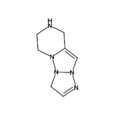 C1=NN2C=C3CNCCN3N2C1